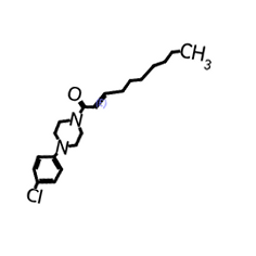 CCCCCCC/C=C/C(=O)N1CCN(c2ccc(Cl)cc2)CC1